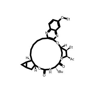 CCOc1ccc2nc3c(nc2c1)O[C@H]1CN(C(=O)[C@H](C(C)(C)C)NC(=O)O[C@@H]2CC4CC4[C@H]2CCCCC3)[C@H](C(C)=O)[C@@H]1CC